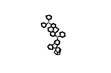 c1ccc(N(c2ccccc2)c2ccc3ccc4c(N(c5ccccc5)c5ccc6c(c5)-c5ccccc5C65C6CC7CC(C6)CC5C7)ccc5ccc2c3c54)cc1